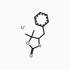 CC1(C)OC(=O)[N-]C1Cc1ccccc1.[Li+]